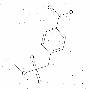 COS(=O)(=O)Cc1ccc([N+](=O)[O-])cc1